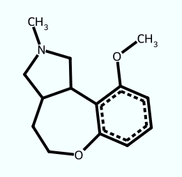 COc1cccc2c1C1CN(C)CC1CCO2